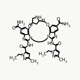 CCn1nc(C)cc1C(=O)Nc1nc2cc(C(N)=O)cc3c2n1CCCCn1c(NC(=O)c2cc(C)nn2CC)nc2cc(C(N)=O)cc(c21)O[C@H]1CN[C@@H](CO3)C1